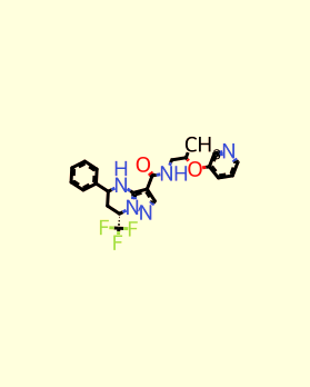 CC(CNC(=O)c1cnn2c1NC(c1ccccc1)C[C@H]2C(F)(F)F)Oc1cccnc1